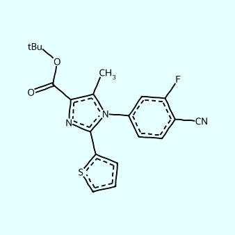 Cc1c(C(=O)OC(C)(C)C)nc(-c2cccs2)n1-c1ccc(C#N)c(F)c1